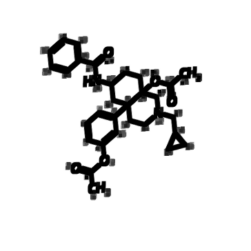 CC(=O)Oc1cccc(C23CCN(CC4CC4)CC2(OC(C)=O)CCC(NC(=O)c2ccccc2)C3)c1